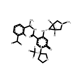 C[C@@H](NC(=O)c1cn([C@]2(C(F)(F)F)CCOC2)c(=O)cc1N[C@@H]1[C@@H]2CN(C)C[C@@H]21)c1cccc(C(F)F)c1F